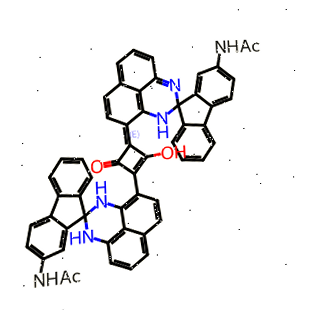 CC(=O)Nc1ccc2c(c1)C1(N=c3cccc4cc/c(=C5\C(=O)C(c6ccc7cccc8c7c6NC6(N8)c7ccccc7-c7ccc(NC(C)=O)cc76)=C5O)c(c34)N1)c1ccccc1-2